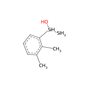 Cc1cccc([SiH](O)[SiH3])c1C